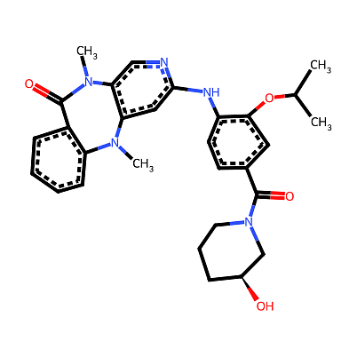 CC(C)Oc1cc(C(=O)N2CCC[C@H](O)C2)ccc1Nc1cc2c(cn1)N(C)C(=O)c1ccccc1N2C